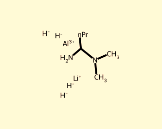 CCCC(N)N(C)C.[Al+3].[H-].[H-].[H-].[H-].[Li+]